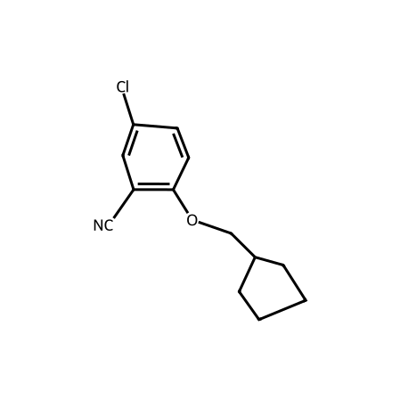 N#Cc1cc(Cl)ccc1OCC1CCCC1